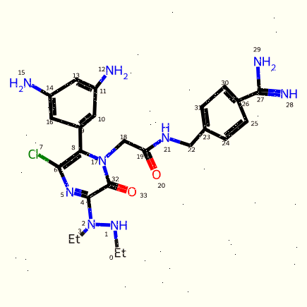 CCNN(CC)c1nc(Cl)c(-c2cc(N)cc(N)c2)n(CC(=O)NCc2ccc(C(=N)N)cc2)c1=O